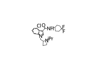 CC(C)N1CCC1Cn1cc(C(=O)NCC2CCC(F)(F)CC2)c2c(Cl)cccc21